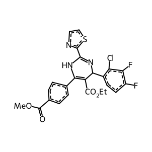 CCOC(=O)C1=C(c2ccc(C(=O)OC)cc2)NC(c2nccs2)=NC1c1ccc(F)c(F)c1Cl